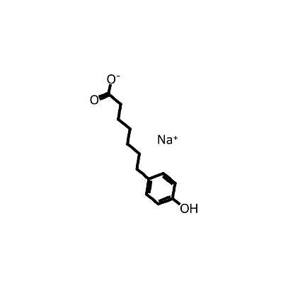 O=C([O-])CCCCCCc1ccc(O)cc1.[Na+]